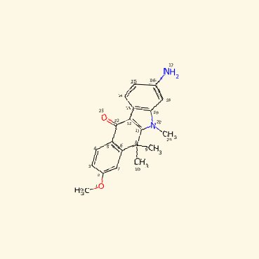 COc1ccc2c(c1)C(C)(C)c1c(c3ccc(N)cc3n1C)C2=O